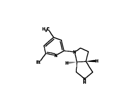 CCc1cc(C)cc(N2CC[C@@H]3CNC[C@H]32)n1